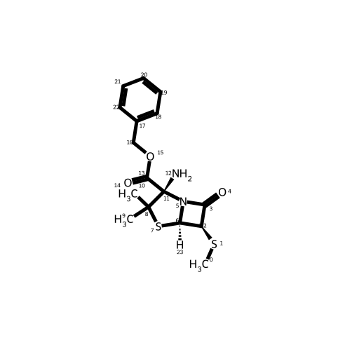 CS[C@@H]1C(=O)N2[C@@H]1SC(C)(C)[C@]2(N)C(=O)OCc1ccccc1